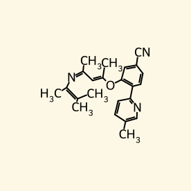 CC(C)=C(C)/N=C(C)\C=C(/C)Oc1cc(C#N)ccc1-c1ccc(C)cn1